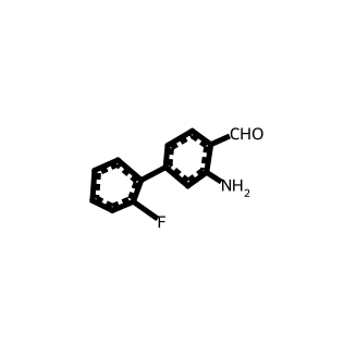 Nc1cc(-c2ccccc2F)ccc1C=O